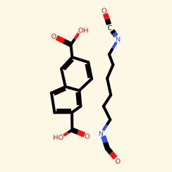 O=C(O)c1ccc2cc(C(=O)O)ccc2c1.O=C=NCCCCCCN=C=O